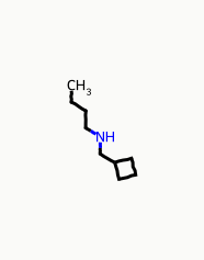 CCCCNCC1CCC1